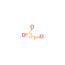 O=P[SH](=O)=O